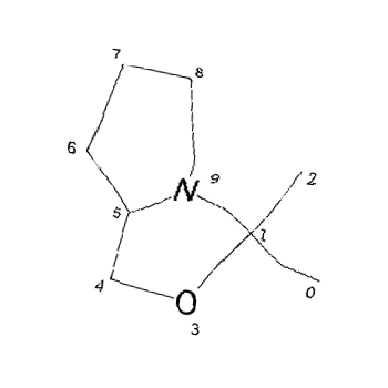 CC1(C)OCC2CCCN21